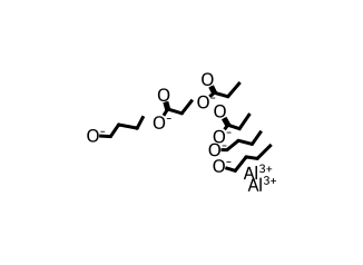 CCC(=O)[O-].CCC(=O)[O-].CCC(=O)[O-].CCCC[O-].CCCC[O-].CCCC[O-].[Al+3].[Al+3]